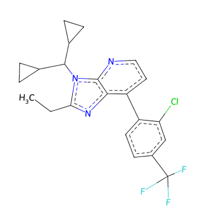 CCc1nc2c(-c3ccc(C(F)(F)F)cc3Cl)ccnc2n1C(C1CC1)C1CC1